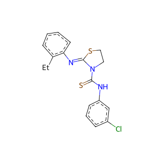 CCc1ccccc1N=C1SCCN1C(=S)Nc1cccc(Cl)c1